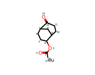 CCC(C)C(=O)OC1CCC2CC1CCC2=O